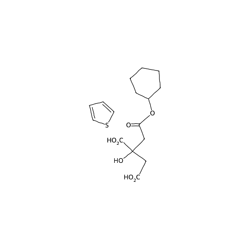 O=C(O)CC(O)(CC(=O)OC1CCCCC1)C(=O)O.c1ccsc1